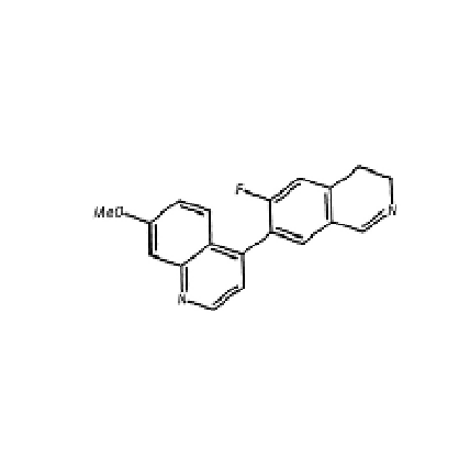 COc1ccc2c(-c3cc4c(cc3F)CCN=C4)ccnc2c1